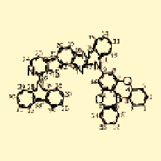 c1ccc2c(c1)Oc1cc(-n3c4ccccc4n4c5ccc6c7ccnc(-n8c9ccccc9c9ccccc98)c7sc6c5nc34)cc3c1B2c1ccccc1O3